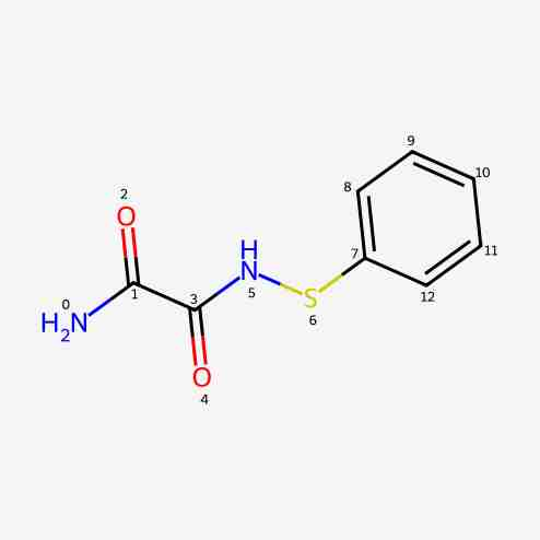 NC(=O)C(=O)NSc1ccccc1